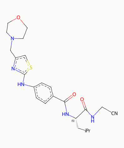 CC(C)C[C@H](NC(=O)c1ccc(Nc2nc(CN3CCOCC3)cs2)cc1)C(=O)NCC#N